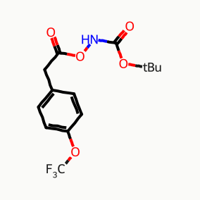 CC(C)(C)OC(=O)NOC(=O)Cc1ccc(OC(F)(F)F)cc1